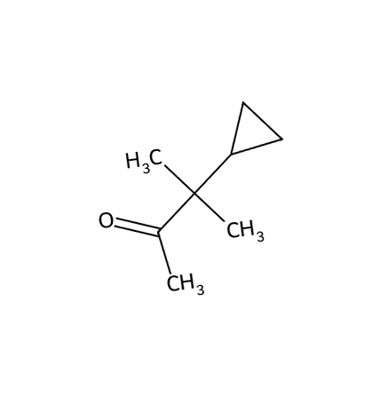 CC(=O)C(C)(C)C1CC1